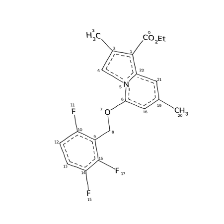 CCOC(=O)c1c(C)cn2c(OCc3c(F)ccc(F)c3F)cc(C)cc12